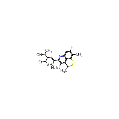 CCc1c(/C(C)=C/C(C(C)N=O)C(CC)C(C)=O)nc2cc(F)c(C)c3c2c1C(C)CS3